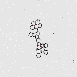 CC(C)c1ccccc1-c1ccccc1N(c1ccccc1)c1ccc2c3cc4c(cc3n3c5ccccc5c1c23)c1ccc(N(c2ccccc2)c2ccccc2-c2ccccc2C(C)C)c2c3ccccc3n4c12